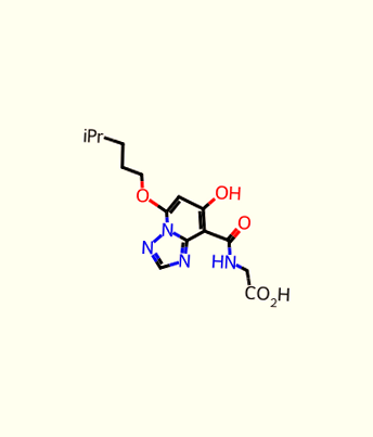 CC(C)CCCOc1cc(O)c(C(=O)NCC(=O)O)c2ncnn12